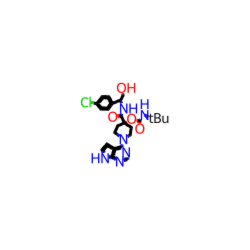 CC(C)(C)NC(=O)OC1(C(=O)NC(CO)c2ccc(Cl)cc2)CCN(c2ncnc3[nH]ccc23)CC1